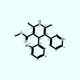 COC(=O)C1=C(C)NC(C)=C(c2cccnc2)C1c1ccccc1Br